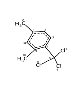 Cc1ccc(C(Cl)(Cl)Cl)c(C)c1